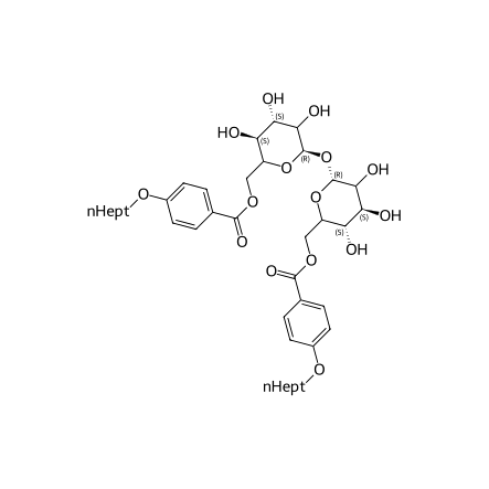 CCCCCCCOc1ccc(C(=O)OCC2O[C@H](O[C@H]3OC(COC(=O)c4ccc(OCCCCCCC)cc4)[C@@H](O)[C@H](O)C3O)C(O)[C@@H](O)[C@@H]2O)cc1